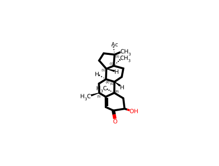 CC(=O)[C@@]1(C)CC[C@H]2[C@@H]3C[C@H](C)C4=CC(=O)C(O)C[C@]4(C)[C@H]3CC[C@@]21C